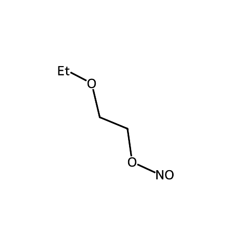 CCOCCON=O